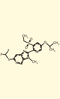 CCS(=O)(=O)c1cc(OC(C)C)cnc1-c1nc2cc(SC(F)F)ncc2n1C